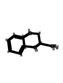 [CH2]C1COc2ccccc2O1